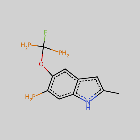 Cc1cc2cc(OC(F)(P)P)c(P)cc2[nH]1